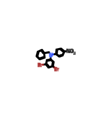 O=[N+]([O-])c1ccc(N(Cc2ccccc2)c2cc(Br)cc(Br)c2)cc1